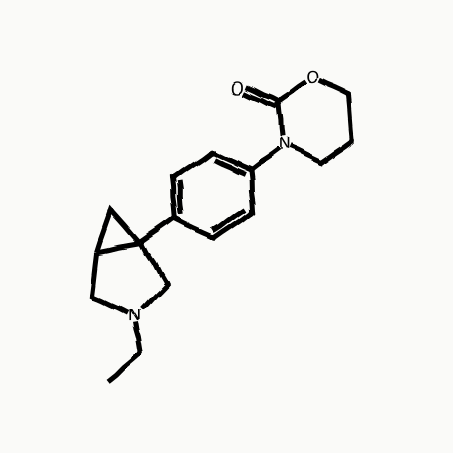 CCN1CC2CC2(c2ccc(N3CCCOC3=O)cc2)C1